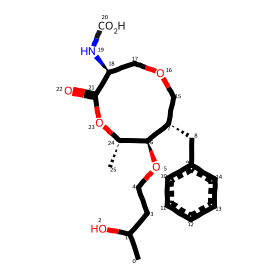 CC(O)CCO[C@@H]1[C@@H](Cc2ccccc2)COC[C@H](NC(=O)O)C(=O)O[C@H]1C